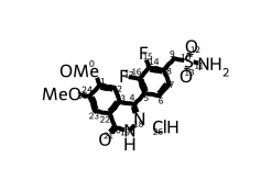 COc1cc2c(-c3ccc(CS(N)(=O)=O)c(F)c3F)n[nH]c(=O)c2cc1OC.Cl